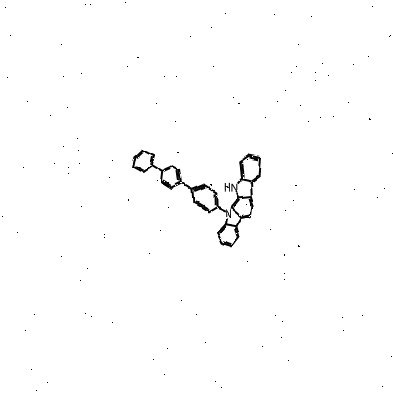 c1ccc(-c2ccc(-c3ccc(-n4c5ccccc5c5ccc6c7ccccc7[nH]c6c54)cc3)cc2)cc1